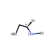 CCCCC[C@@H](CC)NCC